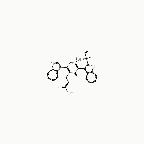 C=CC(C)(C)c1[nH]c2ccccc2c1C1=C(O)CC(c2c[nH]c3ccccc23)=C(CC=C(C)C)C1=O